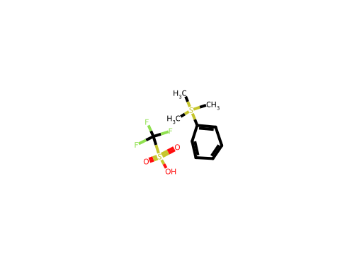 CS(C)(C)c1ccccc1.O=S(=O)(O)C(F)(F)F